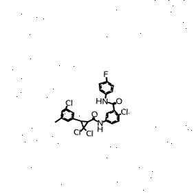 Cc1cc(Cl)cc(C2C(C(=O)Nc3ccc(Cl)c(C(=O)Nc4ccc(F)cc4)c3)C2(Cl)Cl)c1